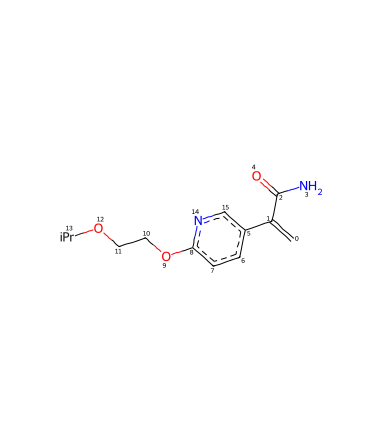 C=C(C(N)=O)c1ccc(OCCOC(C)C)nc1